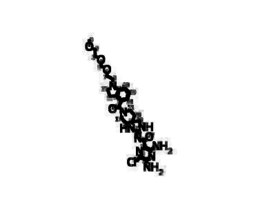 COCCOCOCCN1CCc2c(C(=O)N3CCC4(CC3)CN/C(=N\C(=O)c3nc(Cl)c(N)nc3N)N4)cccc21